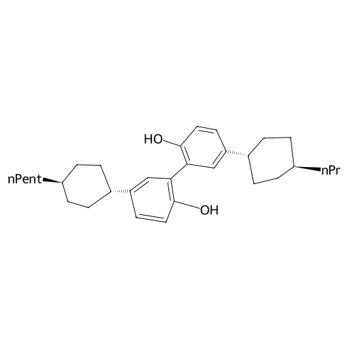 CCCCC[C@H]1CC[C@H](c2ccc(O)c(-c3cc([C@H]4CC[C@H](CCC)CC4)ccc3O)c2)CC1